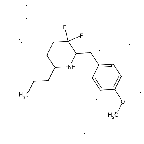 CCCC1CCC(F)(F)C(Cc2ccc(OC)cc2)N1